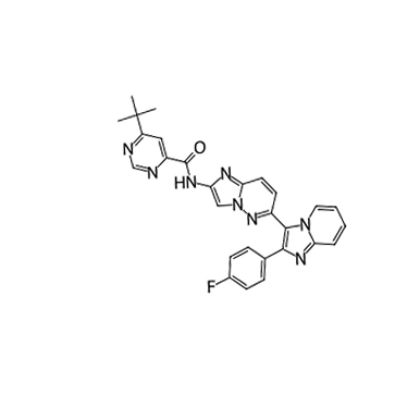 CC(C)(C)c1cc(C(=O)Nc2cn3nc(-c4c(-c5ccc(F)cc5)nc5ccccn45)ccc3n2)ncn1